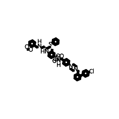 Cc1cc(S(=O)(=O)NC(=O)c2ccc(N3CCN(Cc4ccccc4-c4ccc(Cl)cc4)CC3)cc2)ccc1N[C@H](CCNCc1cccc2c1OCO2)CSc1ccccc1